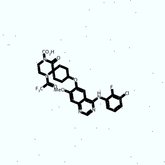 COc1cc2ncnc(Nc3cccc(Cl)c3F)c2cc1OC1CCC2(CC1)C(=O)N(C(=O)O)CCN2C(=O)C(F)(F)F